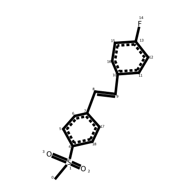 CS(=O)(=O)c1ccc(C=Cc2ccc(F)cc2)cc1